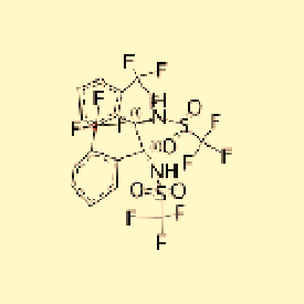 O=S(=O)(N[C@H](c1ccccc1C(F)(F)F)[C@H](NS(=O)(=O)C(F)(F)F)c1ccccc1C(F)(F)F)C(F)(F)F